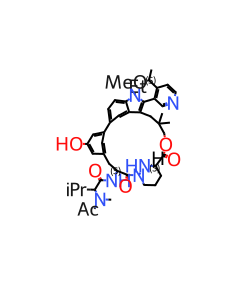 CCn1c(-c2cnccc2[C@H](C)OC)c2c3cc(ccc31)-c1cc(O)cc(c1)C[C@H](NC(=O)C(C(C)C)N(C)C(C)=O)C(=O)N1CCC[C@H](N1)C(=O)OCC(C)(C)C2